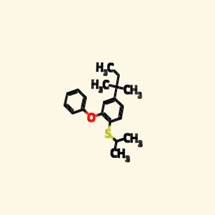 CCC(C)(C)c1ccc(SC(C)C)c(Oc2ccccc2)c1